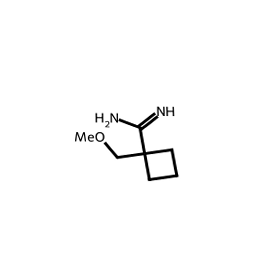 COCC1(C(=N)N)CCC1